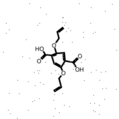 C=CCOc1cc(C(=O)O)c(OCC=C)cc1C(=O)O